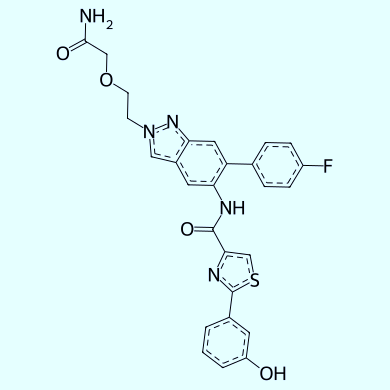 NC(=O)COCCn1cc2cc(NC(=O)c3csc(-c4cccc(O)c4)n3)c(-c3ccc(F)cc3)cc2n1